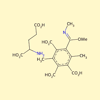 CN=C(OC)c1c(C)c(C(=O)O)c(C(=O)O)c(C)c1C(=O)O.NC(CCC(=O)O)C(=O)O